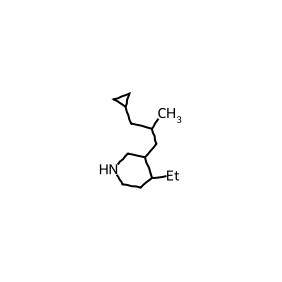 CCC1CCNCC1CC(C)CC1CC1